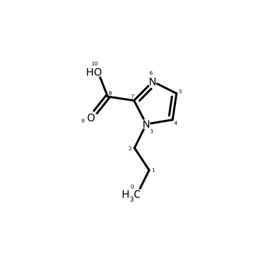 CCCn1ccnc1C(=O)O